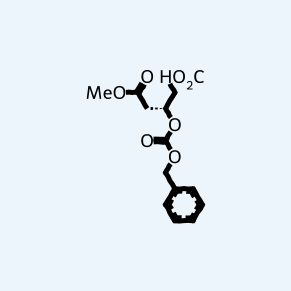 COC(=O)C[C@H](CC(=O)O)OC(=O)OCc1ccccc1